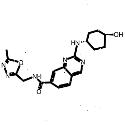 Cc1nnc(CNC(=O)c2ccc3cnc(N[C@H]4CC[C@H](O)CC4)nc3c2)o1